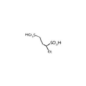 [CH2]CC(CCS(=O)(=O)O)S(=O)(=O)O